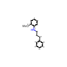 COc1ccccc1NCCCc1ccccc1